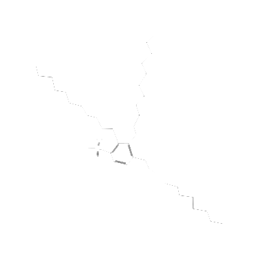 CCCCCCCCCCCc1ccc(S(=O)(=O)O)c(CCCCCCCCCCC)c1CCCCCCCCCCC